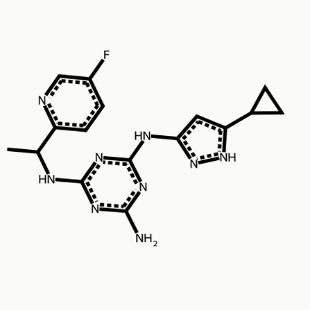 CC(Nc1nc(N)nc(Nc2cc(C3CC3)[nH]n2)n1)c1ccc(F)cn1